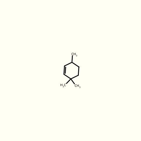 CC1[CH]CC(C)(C)C=C1